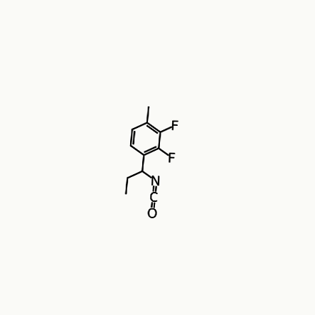 CCC(N=C=O)c1ccc(C)c(F)c1F